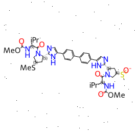 COC(=O)N[C@H](C(=O)N1C[C@@H](SC)C[C@H]1c1ncc(-c2ccc(-c3ccc(-c4cnc([C@@H]5C[C@H]([S+](C)[O-])CN5C(=O)[C@@H](NC(=O)OC)C(C)C)[nH]4)cc3)cc2)[nH]1)C(C)C